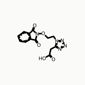 O=C(O)Cc1nnnn1CCON1C(=O)c2ccccc2C1=O